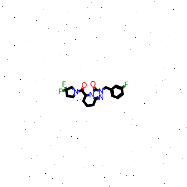 O=C(C1CCCc2nn(Cc3cccc(F)c3)c(=O)n21)N1CCC(F)(F)C1